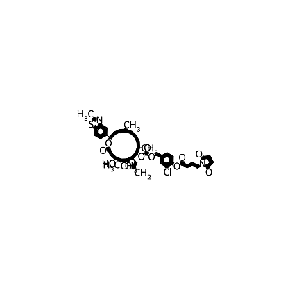 C=CC[C@H]1C(=O)C(C)(C)[C@@H](O)CC(=O)O[C@H](c2ccc3sc(C)nc3c2)C/C=C(/C)CCC[C@H](C)[C@@H]1OC(=O)OCc1ccc(OC(=O)CCCN2C(=O)C=CC2=O)c(Cl)c1